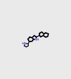 c1ccc2cc(-c3cc4ccc(C5CCCN5)cc4[nH]3)ccc2c1